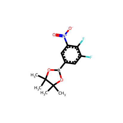 CC1(C)OB(c2cc(F)c(F)c([N+](=O)[O-])c2)OC1(C)C